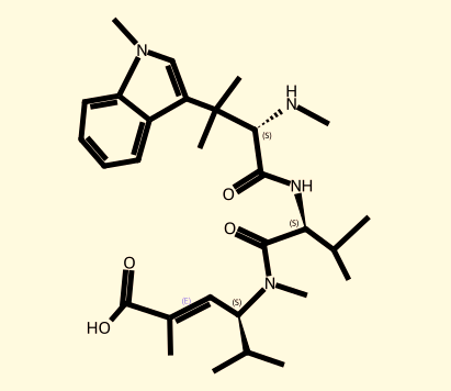 CN[C@H](C(=O)N[C@H](C(=O)N(C)[C@H](/C=C(\C)C(=O)O)C(C)C)C(C)C)C(C)(C)c1cn(C)c2ccccc12